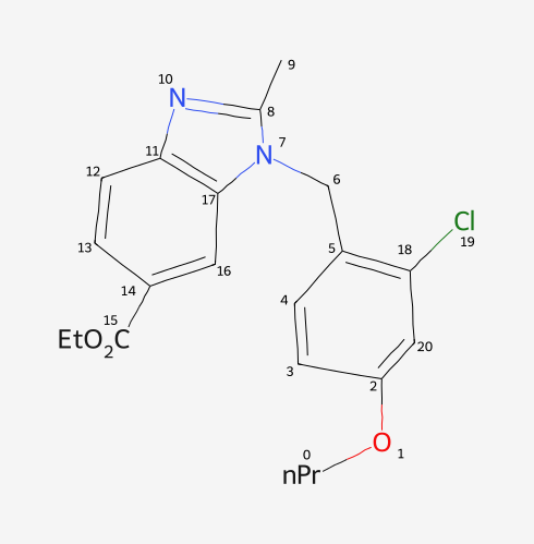 CCCOc1ccc(Cn2c(C)nc3ccc(C(=O)OCC)cc32)c(Cl)c1